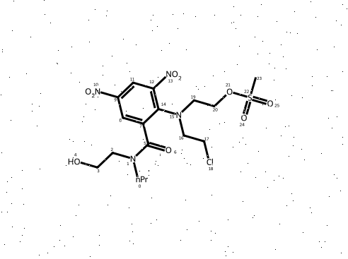 CCCN(CCO)C(=O)c1cc([N+](=O)[O-])cc([N+](=O)[O-])c1N(CCCl)CCOS(C)(=O)=O